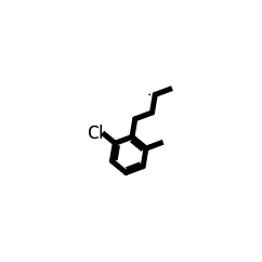 C[CH]CCc1c(C)cccc1Cl